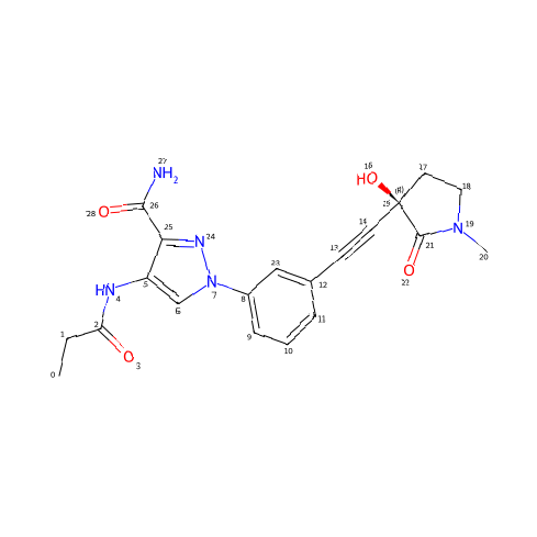 CCC(=O)Nc1cn(-c2cccc(C#C[C@]3(O)CCN(C)C3=O)c2)nc1C(N)=O